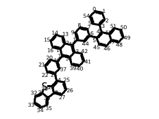 c1ccc(-c2c(-c3cccc(-c4c5ccccc5c(-c5cccc(-c6cccc7c6sc6ccccc67)c5)c5ccccc45)c3)ccc3ccccc23)cc1